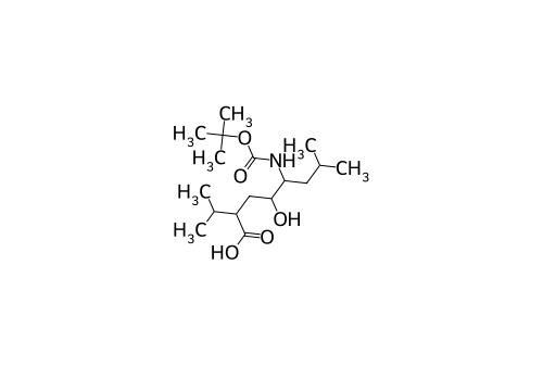 CC(C)CC(NC(=O)OC(C)(C)C)C(O)CC(C(=O)O)C(C)C